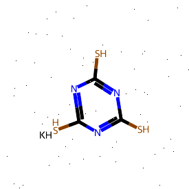 Sc1nc(S)nc(S)n1.[KH]